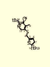 Cc1c(SCc2ccc(C(C)(C)C)s2)cnn(C(C)(C)C)c1=O